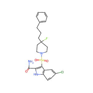 NC(=O)c1[nH]c2ccc(Cl)cc2c1S(=O)(=O)N1CCC(F)(CCCc2ccccc2)CC1